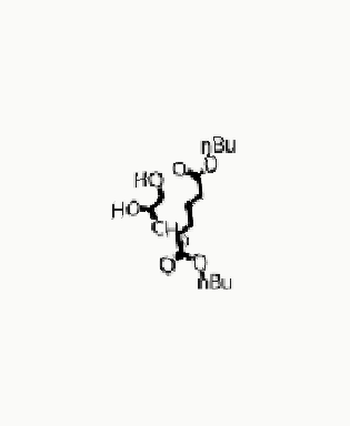 CC(O)CO.CCCCOC(=O)CCCCC(=O)OCCCC